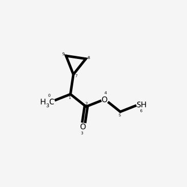 CC(C(=O)OCS)C1CC1